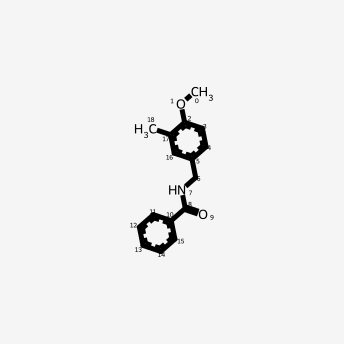 COc1ccc(CNC(=O)c2ccccc2)cc1C